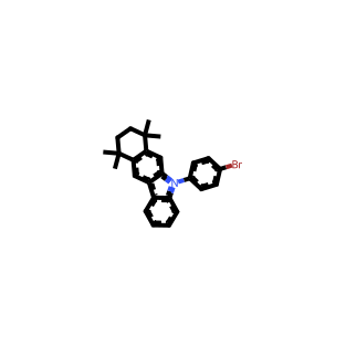 CC1(C)CCC(C)(C)c2cc3c(cc21)c1ccccc1n3-c1ccc(Br)cc1